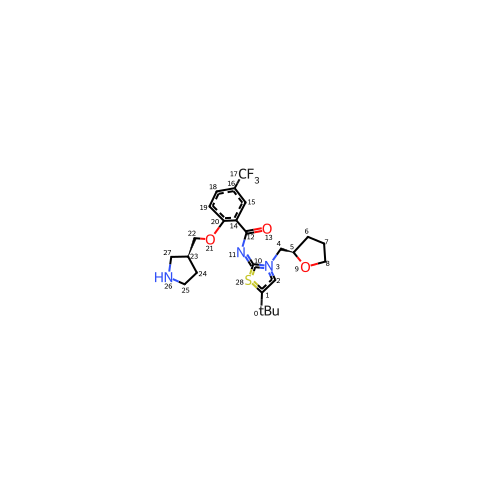 CC(C)(C)c1cn(C[C@H]2CCCO2)c(=NC(=O)c2cc(C(F)(F)F)ccc2OC[C@H]2CCNC2)s1